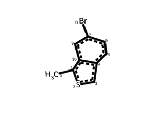 Cc1scc2ccc(Br)cc12